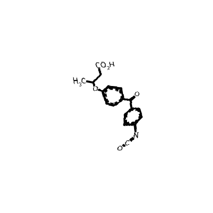 CC(CC(=O)O)Oc1ccc(C(=O)c2ccc(N=C=O)cc2)cc1